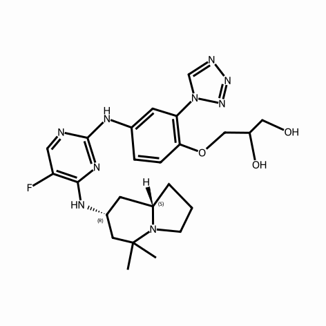 CC1(C)C[C@H](Nc2nc(Nc3ccc(OCC(O)CO)c(-n4cnnn4)c3)ncc2F)C[C@@H]2CCCN21